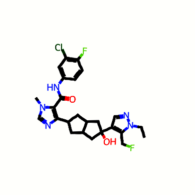 CCn1ncc(C2(O)CC3CC(c4ncn(C)c4C(=O)Nc4ccc(F)c(Cl)c4)CC3C2)c1CF